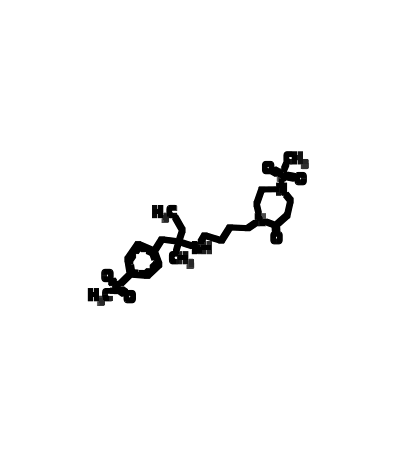 CCC(C)(Cc1ccc(S(C)(=O)=O)cc1)NCCCCN1CCN(S(C)(=O)=O)CCC1=O